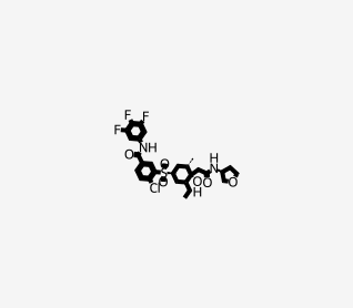 CCC1C[C@@H](S(=O)(=O)c2cc(C(=O)Nc3cc(F)c(F)c(F)c3)ccc2Cl)C[C@H](C)[C@@]1(O)CC(=O)N[C@H]1CCOC1